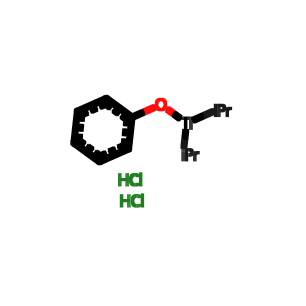 C[CH](C)[Ti]([O]c1ccccc1)[CH](C)C.Cl.Cl